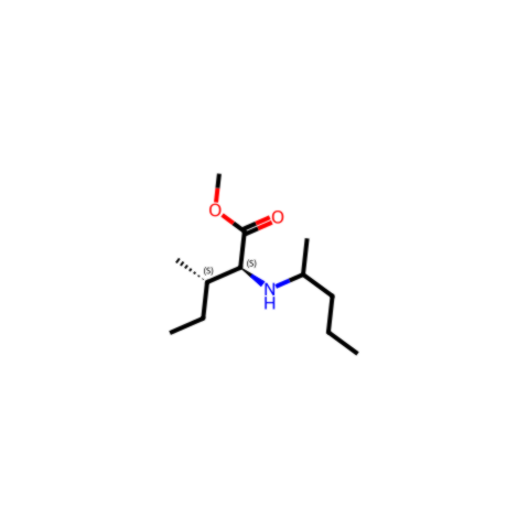 CCCC(C)N[C@H](C(=O)OC)[C@@H](C)CC